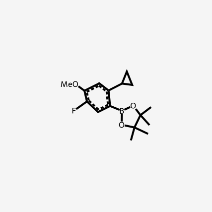 COc1cc(C2CC2)c(B2OC(C)(C)C(C)(C)O2)cc1F